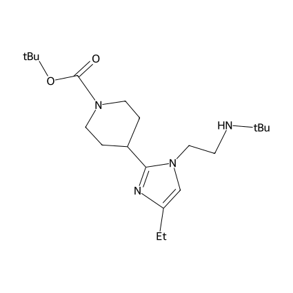 CCc1cn(CCNC(C)(C)C)c(C2CCN(C(=O)OC(C)(C)C)CC2)n1